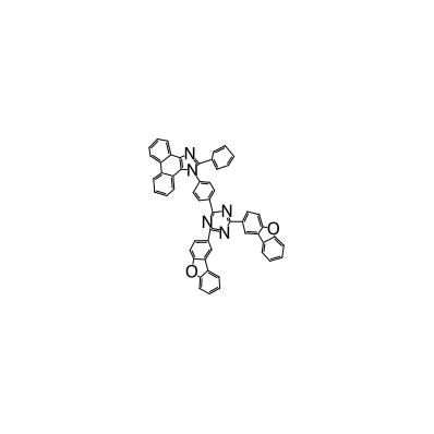 c1ccc(-c2nc3c4ccccc4c4ccccc4c3n2-c2ccc(-c3nc(-c4ccc5oc6ccccc6c5c4)nc(-c4ccc5oc6ccccc6c5c4)n3)cc2)cc1